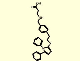 O=C(O)CCNCc1ccc(CCSc2ncc(-c3ccccc3)n2-c2ccccc2)cc1